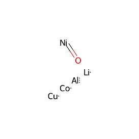 [Al].[Co].[Cu].[Li].[O]=[Ni]